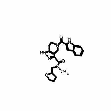 CN(CC1CCCO1)C(=O)c1n[nH]c2c1CN(C(=O)c1cc3ccccc3[nH]1)CC2